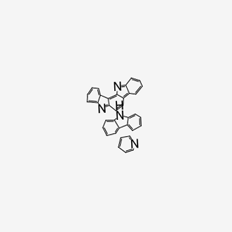 c1ccc2c(c1)N=c1ccc3c(c1-2)N=c1ccccc1=3.c1ccc2c(c1)[nH]c1ccccc12.c1ccncc1